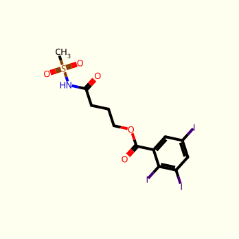 CS(=O)(=O)NC(=O)CCCOC(=O)c1cc(I)cc(I)c1I